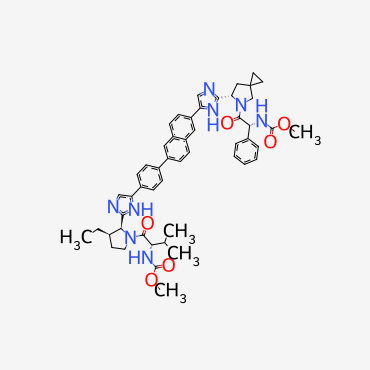 CC[C@@H]1CCN(C(=O)[C@@H](NC(=O)OC)C(C)C)[C@@H]1c1ncc(-c2ccc(-c3ccc4cc(-c5cnc([C@@H]6CC7(CC7)CN6C(=O)[C@H](NC(=O)OC)c6ccccc6)[nH]5)ccc4c3)cc2)[nH]1